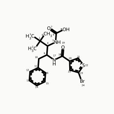 CC(C)(C)C(NC(=O)O)C(Cc1ccccc1)NC(=O)c1csc(Br)c1